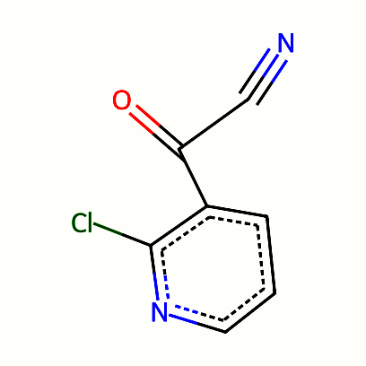 N#CC(=O)c1cccnc1Cl